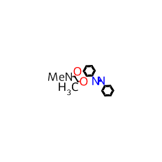 CNC(=O)C(C)Oc1ccccc1N=Nc1ccccc1